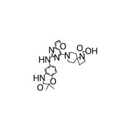 CC1(C)Oc2ccc(Nc3nc(N4CCC5(CC4)CCN5C(=O)O)c4occc4n3)cc2NC1=O